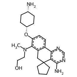 CN(CCO)c1c(O[C@H]2CC[C@@H](N)CC2)ccc2c1CC1(CCCC1)c1c(N)ncnc1-2